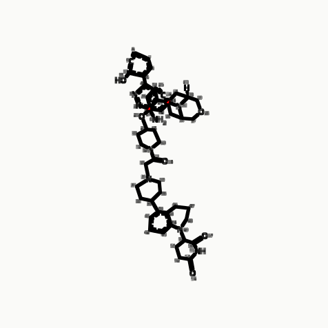 Nc1nnc(-c2ccccc2O)cc1N1CC2COC[C@@H](C1)N2c1cccc(OC2CCN(C(=O)CN3CCC(c4cccc5c4CCCN5C4CCC(=O)NC4=O)CC3)CC2)c1